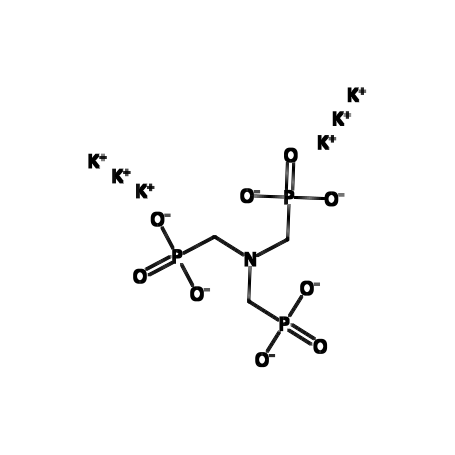 O=P([O-])([O-])CN(CP(=O)([O-])[O-])CP(=O)([O-])[O-].[K+].[K+].[K+].[K+].[K+].[K+]